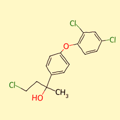 CC(O)(CCCl)c1ccc(Oc2ccc(Cl)cc2Cl)cc1